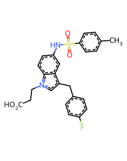 Cc1ccc(S(=O)(=O)Nc2ccc3c(c2)c(Cc2ccc(F)cc2)cn3CCC(=O)O)cc1